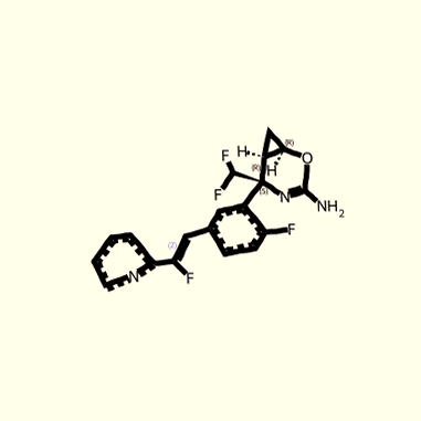 NC1=N[C@@](c2cc(/C=C(\F)c3ccccn3)ccc2F)(C(F)F)[C@H]2C[C@H]2O1